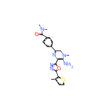 Cc1ccsc1-c1nnc(C2=C(N)N(C)CC(c3ccc(C(=O)N(C)C)cc3)=N2)o1